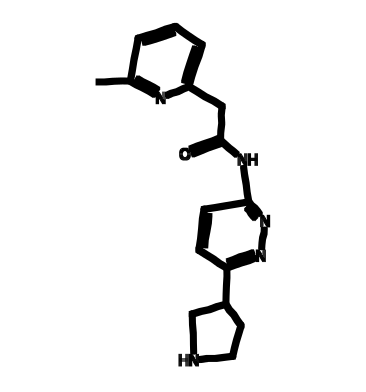 Cc1cccc(CC(=O)Nc2ccc(C3CCNC3)nn2)n1